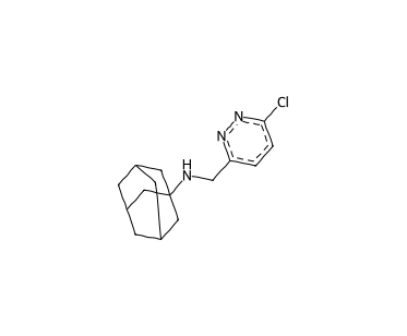 Clc1ccc(CNC23CC4CC(CC(C4)C2)C3)nn1